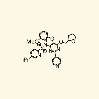 COc1cccc(Oc2c(NS(=O)(=O)c3ccc(C(C)C)cn3)nc(-c3ccncc3)nc2OCC2CCCO2)c1